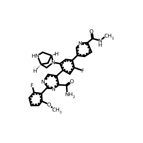 CNC(=O)c1ccc(-c2cc(N3C[C@@H]4C[C@H]3CN4)c(-c3cnc(-c4c(F)cccc4OC)nc3C(N)=O)cc2F)cn1